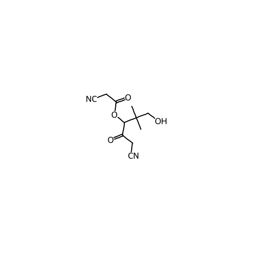 CC(C)(CO)C(OC(=O)CC#N)C(=O)CC#N